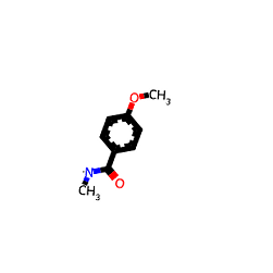 C[N]C(=O)c1ccc(OC)cc1